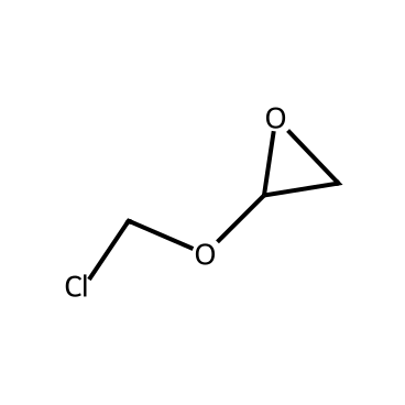 ClCOC1CO1